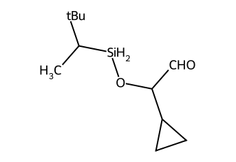 CC([SiH2]OC(C=O)C1CC1)C(C)(C)C